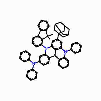 CC1(C)c2ccccc2-c2cccc(N3c4cc(N(c5ccccc5)c5ccccc5)ccc4B4c5ccccc5N(c5ccccc5)c5cc(C67CC8CC(CC(C8)C6)C7)cc3c54)c21